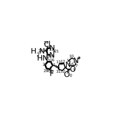 COC(=O)C1(N2CCN(C)CC2)C=CC(c2cc(Nc3ncnc(Cl)c3N)ccc2F)=CC1